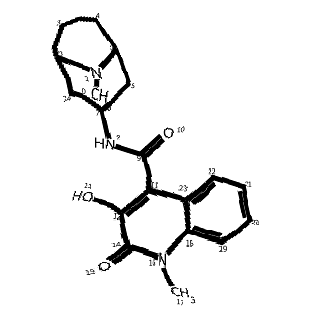 CN1C2CCC1CC(NC(=O)c1c(O)c(=O)n(C)c3ccccc13)C2